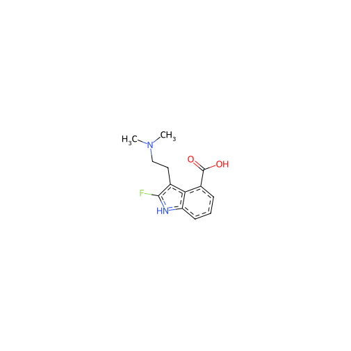 CN(C)CCc1c(F)[nH]c2cccc(C(=O)O)c12